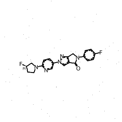 O=C1c2cn(-c3ccc(N4CC[C@@H](F)C4)nc3)nc2CN1c1ccc(F)cc1